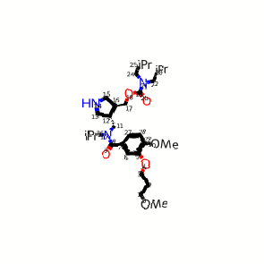 COCCCOc1cc(C(=O)N(C[C@@H]2CNC[C@H]2COC(=O)N(CC(C)C)CC(C)C)C(C)C)ccc1OC